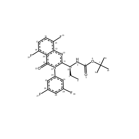 CC[C@H](NC(=O)OC(C)(C)C)c1nc2c(F)ccc(F)c2c(=O)n1-c1cc(F)cc(F)c1